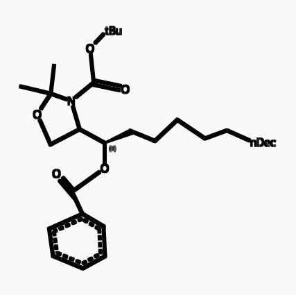 CCCCCCCCCCCCCCC[C@@H](OC(=O)c1ccccc1)C1COC(C)(C)N1C(=O)OC(C)(C)C